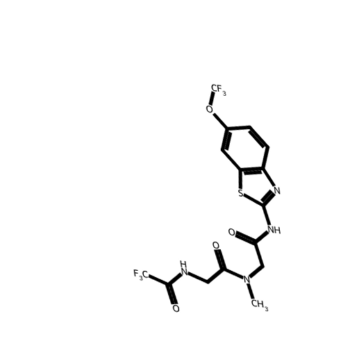 CN(CC(=O)Nc1nc2ccc(OC(F)(F)F)cc2s1)C(=O)CNC(=O)C(F)(F)F